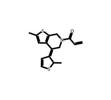 C=CC(=O)N1C/C(=C2/C=CSC2C)c2cc(C)sc2C1